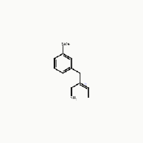 C/C=C(\CN)Cc1cccc(SC)c1